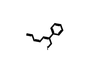 C=C/C=C\C=C(/CI)c1ccccc1